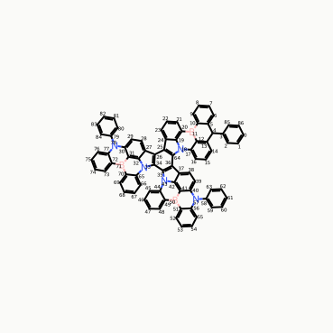 c1ccc(C2c3ccccc3B3c4c2cccc4-n2c4c3cccc4c3c4c5ccc6c7c5n(c4c4c(c5ccc8c9c5n4-c4ccccc4B9c4ccccc4N8c4ccccc4)c32)-c2ccccc2B7c2ccccc2N6c2ccccc2)cc1